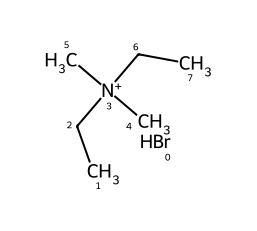 Br.CC[N+](C)(C)CC